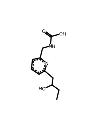 CCC(O)Cc1cccc(CNC(=O)O)n1